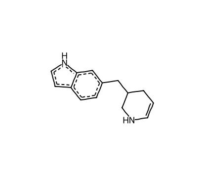 C1=CNCC(Cc2ccc3cc[nH]c3c2)C1